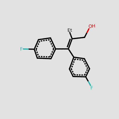 CCC(CO)=C(c1ccc(F)cc1)c1ccc(F)cc1